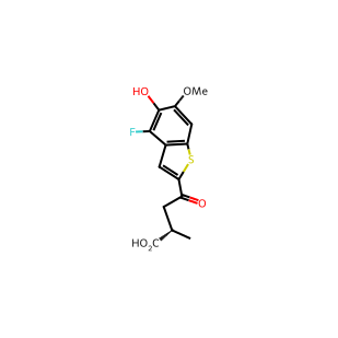 COc1cc2sc(C(=O)C[C@@H](C)C(=O)O)cc2c(F)c1O